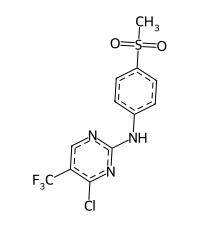 CS(=O)(=O)c1ccc(Nc2ncc(C(F)(F)F)c(Cl)n2)cc1